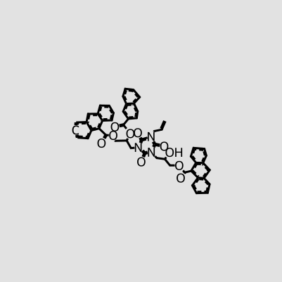 C=CCn1c(=O)n(CC(O)COC(=O)c2c3ccccc3cc3ccccc23)c(=O)n(CC(COC(=O)c2c3ccccc3cc3ccccc23)OC(=O)c2ccc3ccccc3c2)c1=O